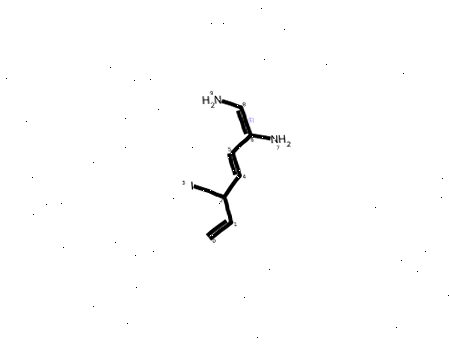 C=CC(I)C=C/C(N)=C\N